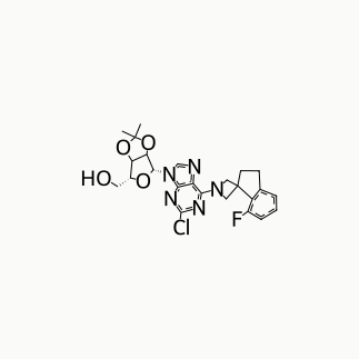 CC1(C)OC2C(O1)[C@@H](CO)O[C@H]2n1cnc2c(N3CC4(CCc5cccc(F)c54)C3)nc(Cl)nc21